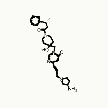 C[C@H](CC(=O)N1CCC(O)(Cn2cnc(/C=C/CN3CC[C@@H](N)C3)cc2=O)CC1)c1ccccc1